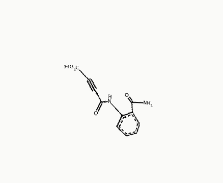 NC(=O)c1ccccc1NC(=O)C#CC(=O)O